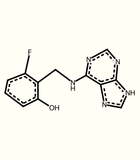 Oc1cccc(F)c1CNc1ncnc2[nH]cnc12